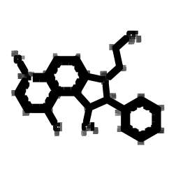 CC1c2c(ccc3c2c(Cl)cc[n+]3[O-])N(CCC(F)(F)F)C1c1ccccc1